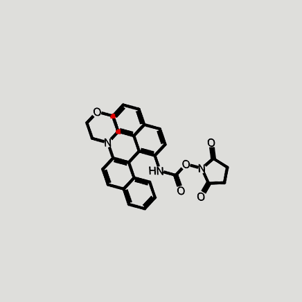 O=C(Nc1ccc2ccccc2c1-c1c(N2CCOCC2)ccc2ccccc12)ON1C(=O)CCC1=O